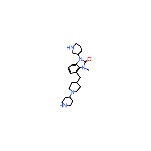 Cn1c(=O)n(C2CCCNC2)c2cccc(CC3CCN(C4CCNCC4)CC3)c21